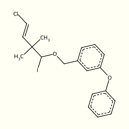 CC(C)(C=CCl)C(I)OCc1cccc(Oc2ccccc2)c1